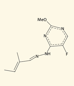 C/C=C(C)/C=N/Nc1nc(OC)ncc1F